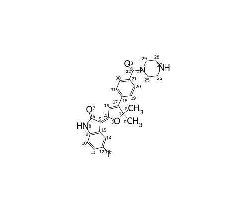 CC1(C)O/C(=C2/C(=O)Nc3ccc(F)cc32)C=C1c1ccc(C(=O)N2CCNCC2)cc1